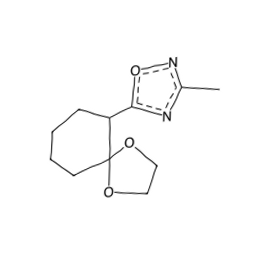 Cc1noc(C2CCCCC23OCCO3)n1